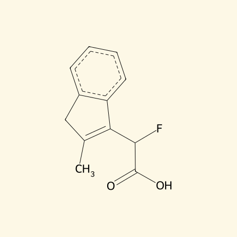 CC1=C(C(F)C(=O)O)c2ccccc2C1